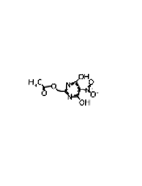 CC(=O)OCc1nc(O)c([N+](=O)[O-])c(O)n1